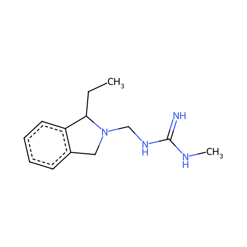 CCC1c2ccccc2CN1CNC(=N)NC